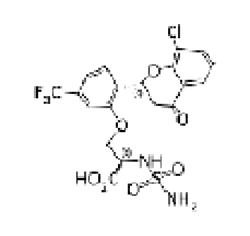 NS(=O)(=O)N[C@H](COc1cc(C(F)(F)F)ccc1[C@H]1CC(=O)c2cccc(Cl)c2O1)C(=O)O